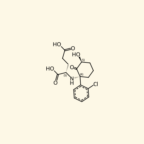 O=C(O)CC[C@H](N[C@@]1(c2ccccc2Cl)CCC[C@H](O)C1=O)C(=O)O